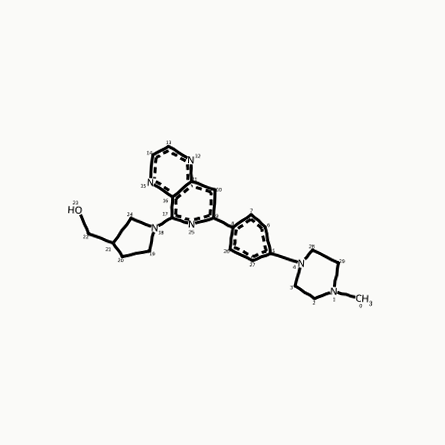 CN1CCN(c2ccc(-c3cc4nccnc4c(N4CCC(CO)C4)n3)cc2)CC1